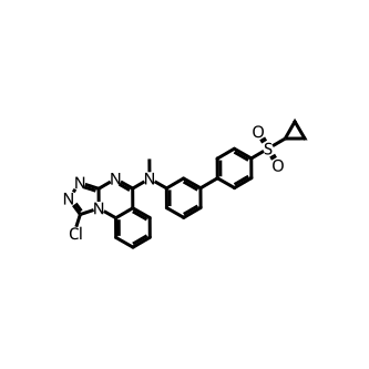 CN(c1cccc(-c2ccc(S(=O)(=O)C3CC3)cc2)c1)c1nc2nnc(Cl)n2c2ccccc12